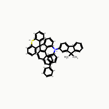 CC1(C)c2ccccc2-c2ccc(N(c3ccc(-c4ccccc4)cc3)c3cccc4c3-c3c(ccc5ccccc35)C43c4ccccc4Sc4ccccc43)cc21